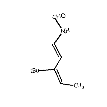 C/C=C(\C=C\NC=O)C(C)(C)C